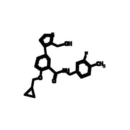 Cc1ccc(CNC(=O)c2cc(-c3ccsc3CO)ccc2OCC2CC2)cc1F